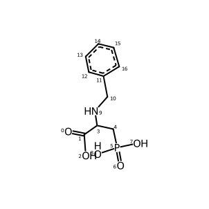 O=C(O)C(CP(=O)(O)O)NCc1ccccc1